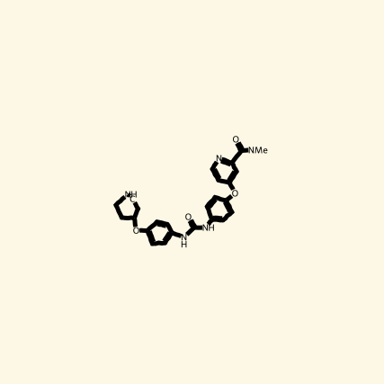 CNC(=O)c1cc(Oc2ccc(NC(=O)Nc3ccc(OC4CCNCC4)cc3)cc2)ccn1